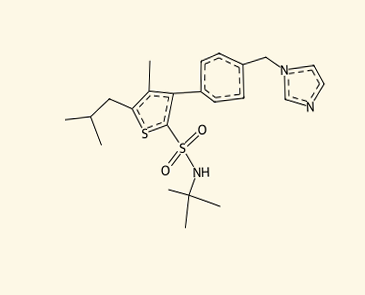 Cc1c(CC(C)C)sc(S(=O)(=O)NC(C)(C)C)c1-c1ccc(Cn2ccnc2)cc1